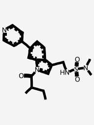 CCC(C)C(=O)n1cc(CNS(=O)(=O)N(C)C)c2ccc(-c3ccncc3)cc21